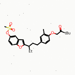 CCC(CCc1ccc(OCC(=O)C(C)(C)C)c(C)c1)c1cc2cc(OS(C)(=O)=O)ccc2o1